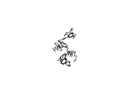 COc1ccc2nccc([C@@H](N)CC[C@@H]3CCN(CC#Cc4cc(F)cc(F)c4F)C[C@@H]3CC(=O)O)c2c1